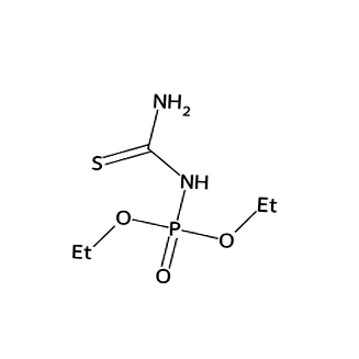 CCOP(=O)(NC(N)=S)OCC